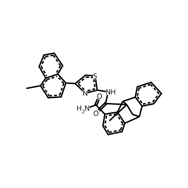 Cc1ccc(-c2csc(NC(=O)C3(C)CC4c5ccccc5C3c3c(C(N)=O)cccc34)n2)c2ccccc12